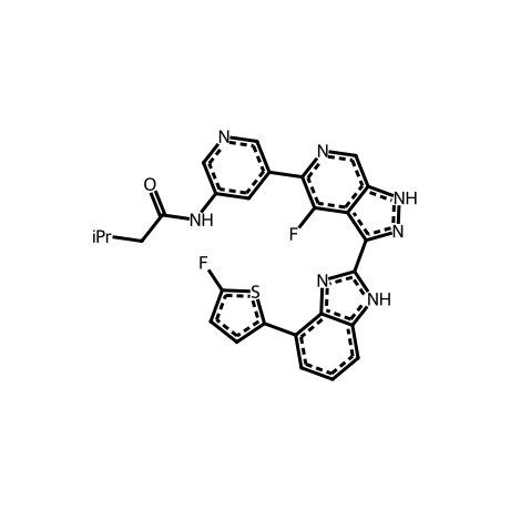 CC(C)CC(=O)Nc1cncc(-c2ncc3[nH]nc(-c4nc5c(-c6ccc(F)s6)cccc5[nH]4)c3c2F)c1